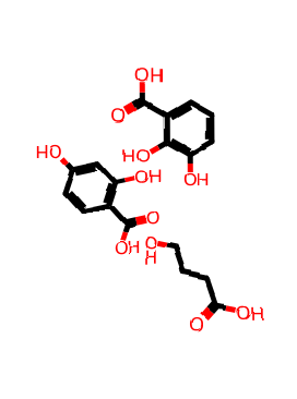 O=C(O)CCCO.O=C(O)c1ccc(O)cc1O.O=C(O)c1cccc(O)c1O